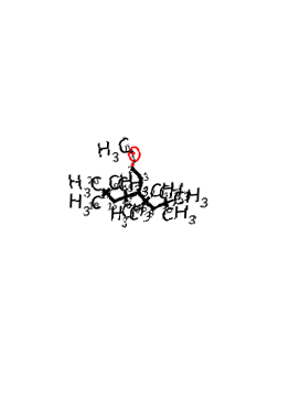 COCCC(C(C)(C)CC(C)(C)C)C(C)(C)CC(C)(C)C